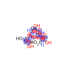 C[C@H](NC(=O)CNC(=O)[C@@H]1C[C@@H](O)CN1C(=O)[C@H](CCC(=O)O)NC(=O)CNC(=O)[C@@H]1C[C@@H](O)CN1C(=O)[C@@H]1CCCN1C(=O)CN)C(=O)N1C[C@H](O)C[C@H]1C(=O)NCC(=O)N1CCC[C@H]1C(=O)N1C[C@H](O)C[C@H]1C(=O)NCC(=O)N1CCC[C@H]1C(=O)N1C[C@H](O)C[C@H]1C(=O)NCC(=O)N1CCC[C@H]1C(=O)N1C[C@H](O)C[C@H]1C(=O)NCC(=O)O